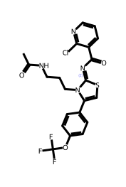 CC(=O)NCCCn1c(-c2ccc(OC(F)(F)F)cc2)cs/c1=N\C(=O)c1cccnc1Cl